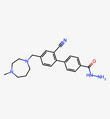 CN1CCCN(Cc2ccc(-c3ccc(C(=O)NN)cc3)c(C#N)c2)CC1